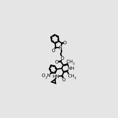 CC1=C(C(=O)NC2CC2)C(c2cccc([N+](=O)[O-])c2)C(C(=O)OCCN2C(=O)c3ccccc3C2=O)=C(C)N1